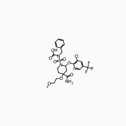 COCCOC1(C(N)=O)CCN(S(=O)(=O)N(Cc2ccccc2)C(=O)O)C(Oc2ncc(C(F)(F)F)cc2Cl)C1